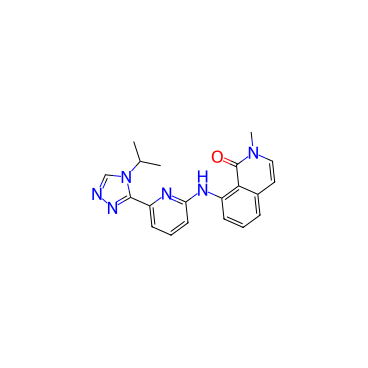 CC(C)n1cnnc1-c1cccc(Nc2cccc3ccn(C)c(=O)c23)n1